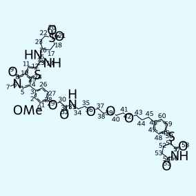 COc1cc(-c2cn(C)c(=O)c3cc(C(=N)NC4CCS(=O)(=O)CC4)sc23)ccc1OCC(=O)NCCOCCOCCOCCCc1ccc(SC2CCC(=O)NC2=O)cc1